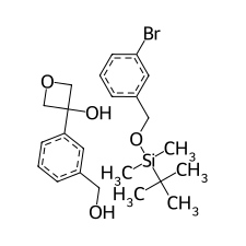 CC(C)(C)[Si](C)(C)OCc1cccc(Br)c1.OCc1cccc(C2(O)COC2)c1